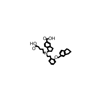 O=C(O)CCCCN(CCc1ccccc1OCc1ccc2c(c1)CCCC2)C1CCc2cc(C(=O)O)ccc21